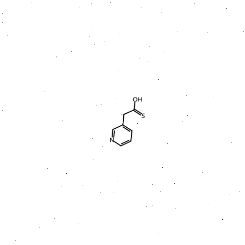 OC(=S)[CH]c1cccnc1